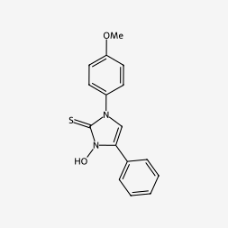 COc1ccc(-n2cc(-c3ccccc3)n(O)c2=S)cc1